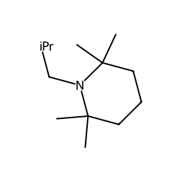 CC(C)CN1C(C)(C)CCCC1(C)C